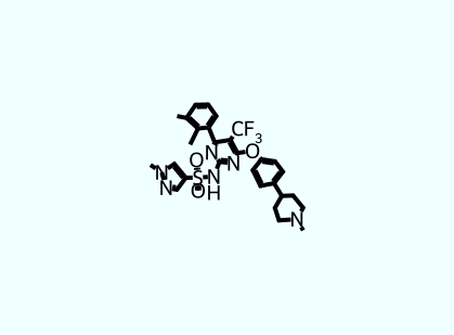 Cc1cccc(-c2nc(NS(=O)(=O)c3cnn(C)c3)nc(Oc3ccc(C4CCN(C)CC4)cc3)c2C(F)(F)F)c1C